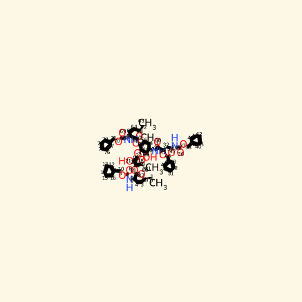 CC[C@H]1C=C[C@@H](NC(=O)OCc2ccccc2)[C@@H](O[C@H]2[C@@H](O)[C@H](O[C@@H]3[C@@H](O)[C@H](NC(=O)[C@H](CCNC(=O)OCc4ccccc4)OC(=O)c4ccccc4)C[C@H](C)[C@H]3O[C@H]3O[C@H](CC)C=C[C@H]3NC(=O)OCc3ccccc3)O[C@@H]2CC)O1